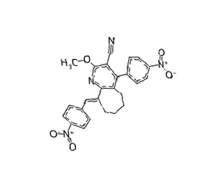 COc1nc2c(c(-c3ccc([N+](=O)[O-])cc3)c1C#N)CCCCC2=Cc1ccc([N+](=O)[O-])cc1